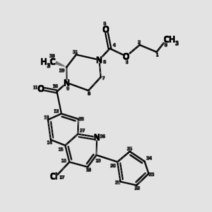 CCCOC(=O)N1CCN(C(=O)c2ccc3c(Cl)cc(-c4ccccc4)nc3c2)[C@H](C)C1